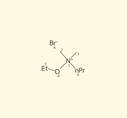 CCC[N+](C)(C)OCC.[Br-]